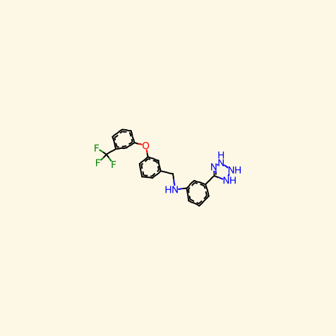 FC(F)(F)c1cccc(Oc2cccc(CNc3cccc(C4=NNNN4)c3)c2)c1